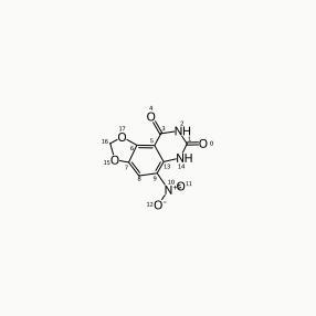 O=c1[nH]c(=O)c2c3c(cc([N+](=O)[O-])c2[nH]1)OCO3